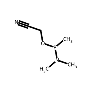 CN(C)P(C)OCC#N